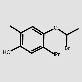 Cc1cc(OC(C)Br)c(C(C)C)cc1O